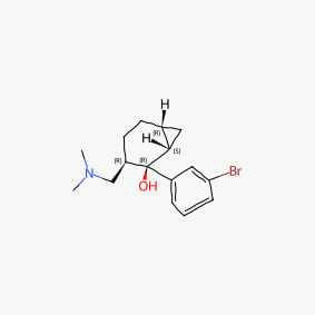 CN(C)C[C@H]1CC[C@@H]2C[C@@H]2[C@]1(O)c1cccc(Br)c1